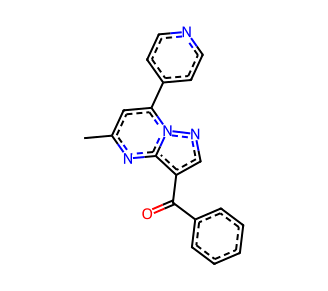 Cc1cc(-c2ccncc2)n2ncc(C(=O)c3ccccc3)c2n1